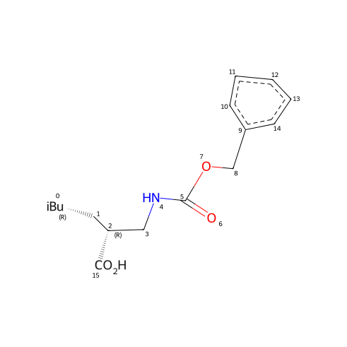 CC[C@@H](C)C[C@H](CNC(=O)OCc1ccccc1)C(=O)O